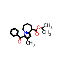 Cc1cc2n(c1C(=O)c1ccccc1)CCCCC2C(=O)OC(C)C